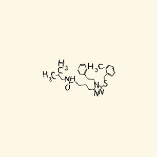 Cc1ccccc1CSc1nnc(CCCCC(=O)NCC(C)C)n1CCc1ccccc1